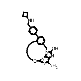 Nc1nc2nc3c1nc(O)n3Cc1ccc(-c3ccc(CNC4CCC4)cc3)c(c1)CCCCCCO2